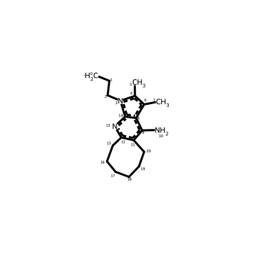 [CH2]CCn1c(C)c(C)c2c(N)c3c(nc21)CCCCCC3